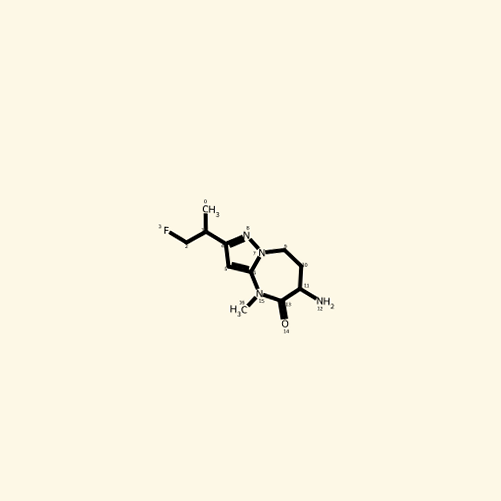 CC(CF)c1cc2n(n1)CCC(N)C(=O)N2C